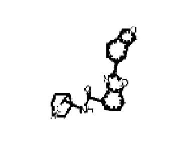 O=C(NC1CN2CCC1CC2)c1cccc2oc(-c3ccc4cocc4c3)nc12